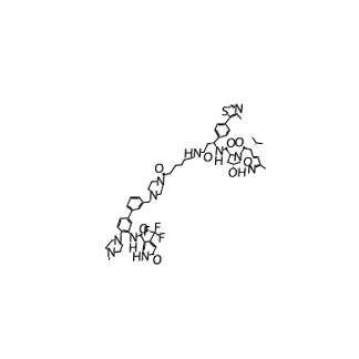 Cc1cc([C@H](C(=O)N2C[C@H](O)C[C@H]2C(=O)N[C@@H](CC(=O)NCCCCCC(=O)N2CCN(Cc3cccc(-c4ccc(N5CCN(C)CC5)c(NC(=O)c5c[nH]c(=O)cc5C(F)(F)F)c4)c3)CC2)c2ccc(-c3scnc3C)cc2)C(C)C)on1